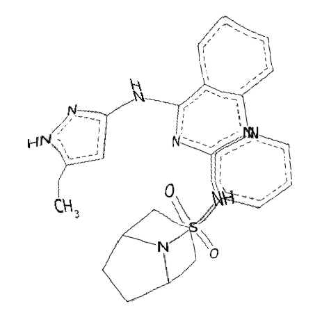 Cc1cc(Nc2nc(NC3CC4CCC(C3)N4S(=O)(=O)c3cccnc3)nc3ccccc23)n[nH]1